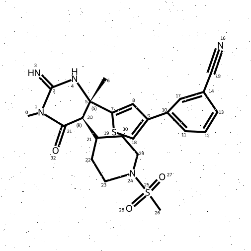 CN1C(=N)N[C@](C)(c2cc(-c3cccc(C#N)c3)cs2)[C@@H](C2CCN(S(C)(=O)=O)CC2)C1=O